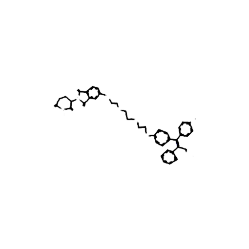 CC/C(=C(\c1ccc(O)cc1)c1ccc(OCCOCCOCCOc2ccc3c(c2)C(=O)N(C2CCC(=O)NC2=O)C3=O)cc1)c1ccccc1